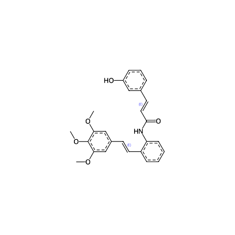 COc1cc(/C=C/c2ccccc2NC(=O)/C=C/c2cccc(O)c2)cc(OC)c1OC